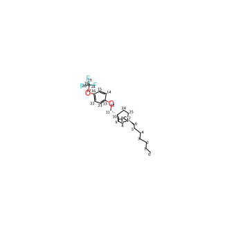 CCCCCCC[Si@H]1CC[C@H](COc2ccc(OC(F)(F)F)cc2)CC1